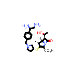 CC(O)[C@H]1C(=O)N2C(C(=O)O)=C(S[C@@H]3CCN(Cc4ccc(C(N)CN)cc4)C3)[C@H](C)[C@H]12